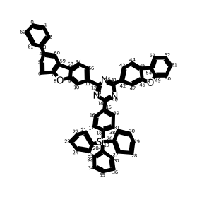 c1ccc(-c2ccc3oc4cc(-c5nc(-c6ccc([Si](c7ccccc7)(c7ccccc7)c7ccccc7)cc6)nc(-c6ccc7c(c6)oc6ccccc67)n5)ccc4c3c2)cc1